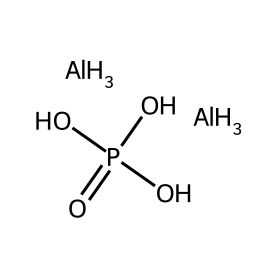 O=P(O)(O)O.[AlH3].[AlH3]